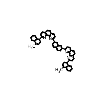 Cc1ccc(-c2ccc3ccc4ccc(-c5ccc6ccc(-c7ccc8ccc9ccc(-c%10ccc(C)c%11ccccc%10%11)nc9c8n7)cc6c5)nc4c3n2)c2ccccc12